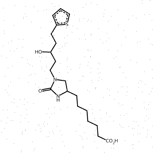 O=C(O)CCCCCCC1CN(CCC(O)CCc2cccs2)C(=O)N1